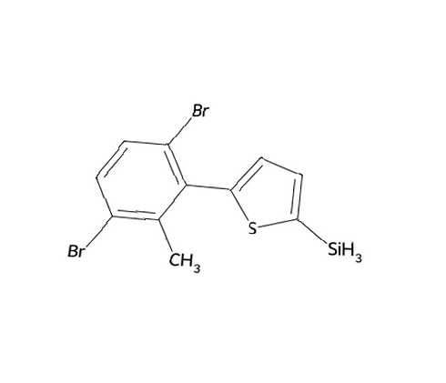 Cc1c(Br)ccc(Br)c1-c1ccc([SiH3])s1